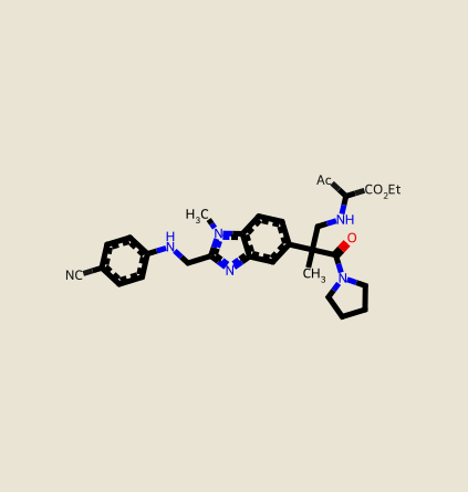 CCOC(=O)C(NCC(C)(C(=O)N1CCCC1)c1ccc2c(c1)nc(CNc1ccc(C#N)cc1)n2C)C(C)=O